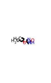 C=C/C=C(\C=C/C)Oc1cnc(=O)[nH]c1